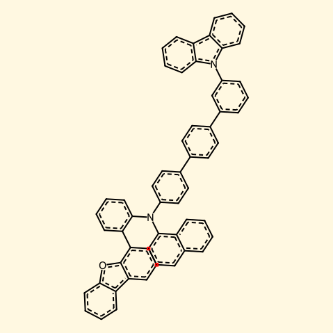 c1cc(-c2ccc(-c3ccc(N(c4ccccc4-c4cccc5c4oc4ccccc45)c4cccc5ccccc45)cc3)cc2)cc(-n2c3ccccc3c3ccccc32)c1